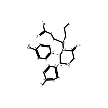 CCC[C@H](CCC(=O)O)N1C(=O)CO[C@H](c2ccc(Cl)cc2)[C@@H]1c1ccc(Cl)cc1